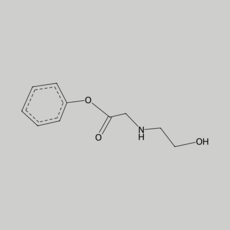 O=C(CNCCO)Oc1ccccc1